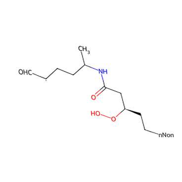 CCCCCCCCCCC[C@H](CC(=O)NC(C)CC[CH]C=O)OO